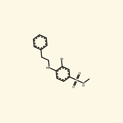 CNS(=O)(=O)c1ccc(NCCc2ccccc2)c(Br)c1